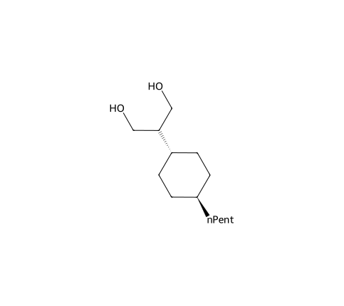 CCCCC[C@H]1CC[C@H](C(CO)CO)CC1